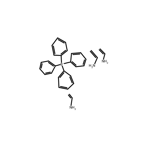 C=CN.C=CN.C=CN.c1ccc([B-](c2ccccc2)(c2ccccc2)c2ccccc2)cc1